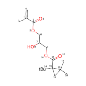 C=C(C)C(=O)OCC(O)COC(=O)C1(C(C)(C)C)CC1(C)C